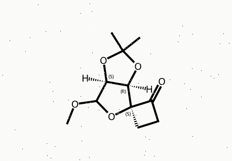 COC1O[C@@]2(CCC2=O)[C@@H]2OC(C)(C)O[C@H]12